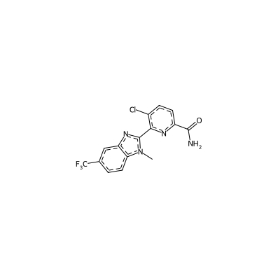 Cn1c(-c2nc(C(N)=O)ccc2Cl)nc2cc(C(F)(F)F)ccc21